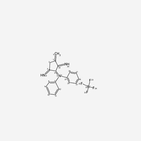 C=C1CC(=N)C(=[N+](c2ccccc2)c2ccccc2)C1=N.F[B-](F)(F)F